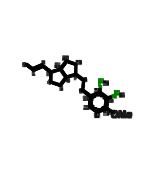 C/C=C/C1CCC2C(CCc3ccc(OC)c(F)c3F)CCC12